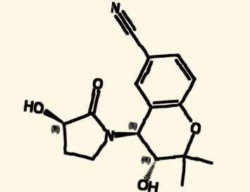 CC1(C)Oc2ccc(C#N)cc2[C@H](N2CC[C@@H](O)C2=O)[C@H]1O